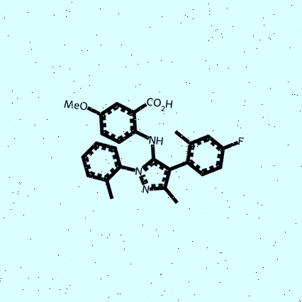 COc1ccc(Nc2c(-c3ccc(F)cc3C)c(C)nn2-c2ccccc2C)c(C(=O)O)c1